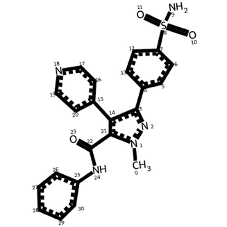 Cn1nc(-c2ccc(S(N)(=O)=O)cc2)c(-c2ccncc2)c1C(=O)Nc1ccccc1